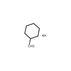 O=CC1CCCCC1.[KH]